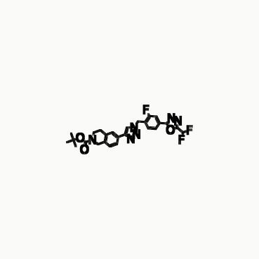 CC(C)(C)OC(=O)N1CCc2cc(-c3cn(Cc4ccc(-c5nnc(C(F)F)o5)cc4F)nn3)ccc2C1